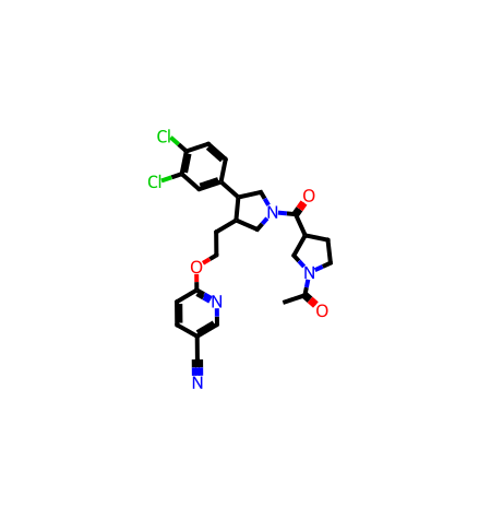 CC(=O)N1CCC(C(=O)N2CC(CCOc3ccc(C#N)cn3)C(c3ccc(Cl)c(Cl)c3)C2)C1